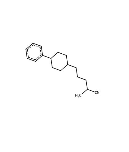 CC(C#N)CCCC1CCC(c2ccccc2)CC1